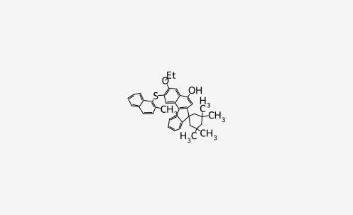 CCOc1cc2c(O)cc3c(c2cc1Sc1c(C)ccc2ccccc12)-c1ccccc1C31CC(C)(C)CC(C)(C)C1